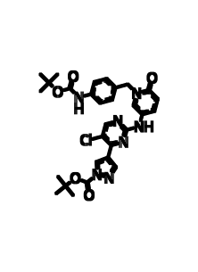 CC(C)(C)OC(=O)Nc1ccc(Cn2cc(Nc3ncc(Cl)c(-c4cnn(C(=O)OC(C)(C)C)c4)n3)ccc2=O)cc1